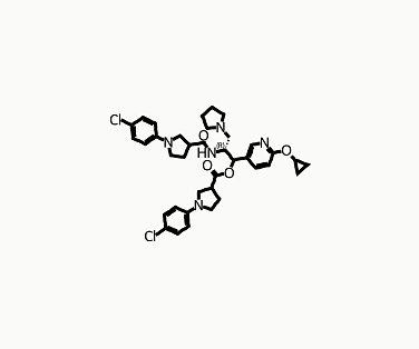 O=C(N[C@H](CN1CCCC1)C(OC(=O)C1CCN(c2ccc(Cl)cc2)C1)c1ccc(OC2CC2)nc1)C1CCN(c2ccc(Cl)cc2)C1